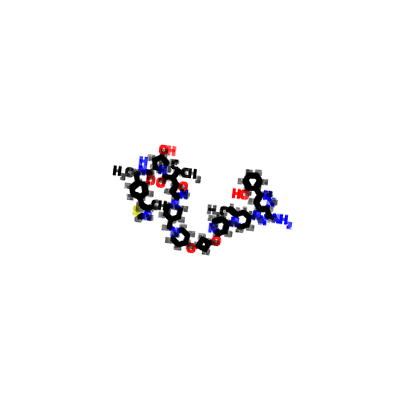 C/C=C1/C[C@@H](n2nc(N)c3nnc(-c4ccccc4O)cc32)CCN1c1ccnc(OC2CC(OC3CCN(CC4CCN(c5cc(C(C(=O)N6C[C@H](O)C[C@H]6C(=O)N[C@@H](C)c6ccc(-c7scnc7C)cc6)C(C)C)on5)CC4)CC3)C2)c1